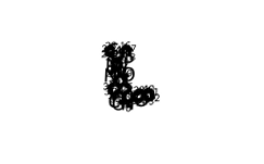 CN(C(=O)c1ccc2c(=O)n3c4nc(-c5cccs5)c(-c5cccs5)nc4nc3c3ccc(C=O)c1c23)c1ccc2ccccc2c1